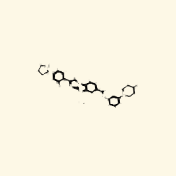 Cl.Cl.O=C(Nc1cccc(N2CCC(F)CC2)c1)c1ccc2c(c1)[nH]c1nc(-c3ccc([C@@H]4CCCN4)cc3F)cn12